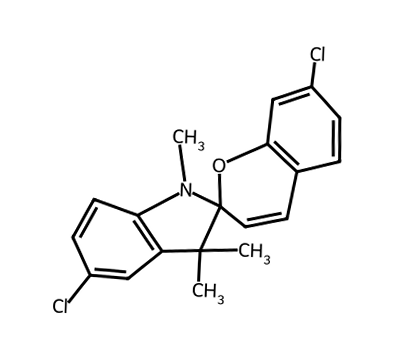 CN1c2ccc(Cl)cc2C(C)(C)C12C=Cc1ccc(Cl)cc1O2